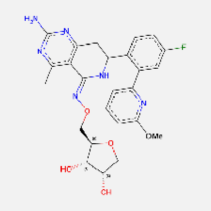 COc1cccc(-c2cc(F)ccc2C2Cc3nc(N)nc(C)c3C(=NOC[C@H]3OC[C@H](O)[C@@H]3O)N2)n1